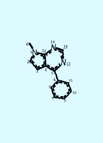 Cn1[c]cc2c(-c3ccccc3)ncnc21